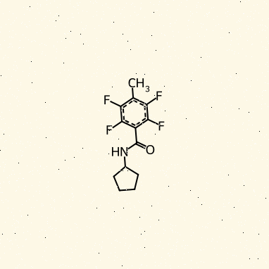 Cc1c(F)c(F)c(C(=O)NC2CCCC2)c(F)c1F